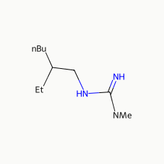 CCCCC(CC)CNC(=N)NC